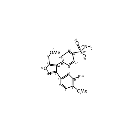 COCc1onc(-c2ccc(OC)c(F)c2)c1-c1ccc(S(N)(=O)=O)cc1